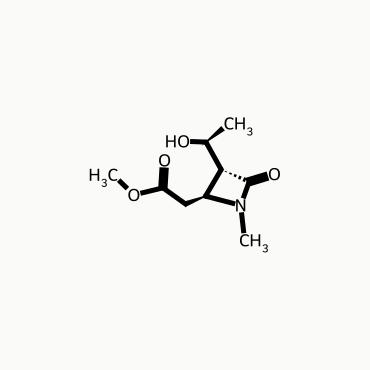 COC(=O)C[C@H]1[C@H]([C@H](C)O)C(=O)N1C